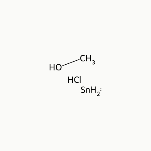 CO.Cl.[SnH2]